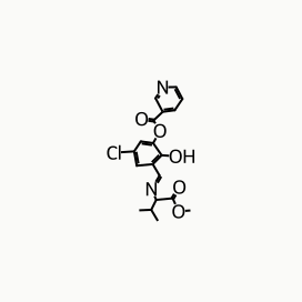 COC(=O)C(N=Cc1cc(Cl)cc(OC(=O)c2cccnc2)c1O)C(C)C